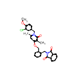 COc1ccc(Cn2c(C)cc(OCc3ccccc3CN3C(=O)c4ccccc4C3=O)c(C)c2=O)cc1Cl